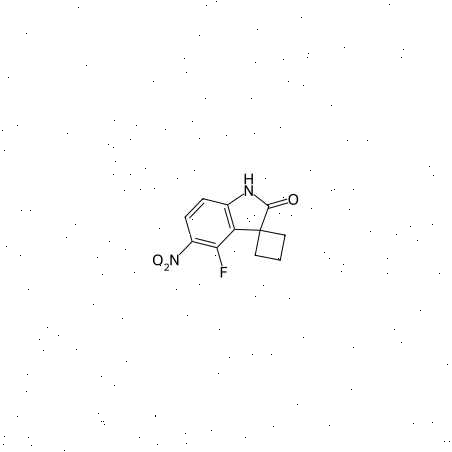 O=C1Nc2ccc([N+](=O)[O-])c(F)c2C12CCC2